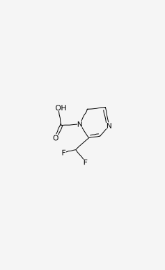 O=C(O)N1CC=NC=C1C(F)F